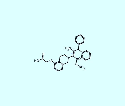 NOC(=O)/C(=C(/N)C(c1ccccc1)c1ccccc1)C1CCc2c(cccc2OCC(=O)O)C1